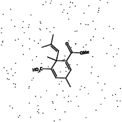 COC(=O)C1=CC(C)C=C(C(=O)O)C1(C)C=C(C)C